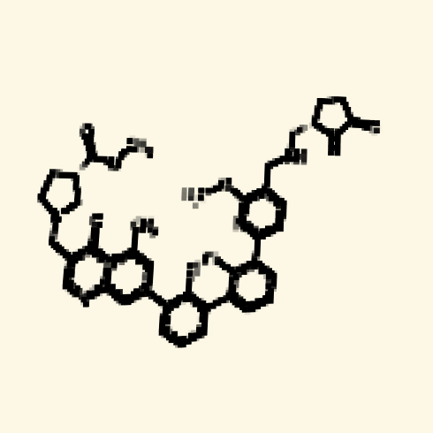 COC(=O)[C@H]1CCN(Cc2cnc3cc(-c4cccc(-c5cccc(-c6ccc(CNC[C@@H]7CCC(=O)N7)c(OC)n6)c5Cl)c4Cl)cc(C)n3c2=O)C1